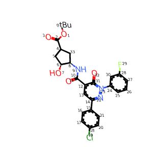 CC(C)(C)OC(=O)C1C[C@H](O)[C@H](NC(=O)c2cc(-c3ccc(Cl)cc3)nn(-c3cccc(F)c3)c2=O)C1